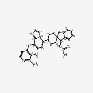 Nc1nccc(Sc2cnc(N3CCC4(CC3)Cc3ncccc3C4OC(=O)O)n3ccnc23)c1Cl